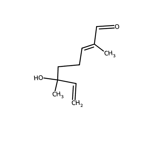 C=CC(C)(O)CC/C=C(\C)C=O